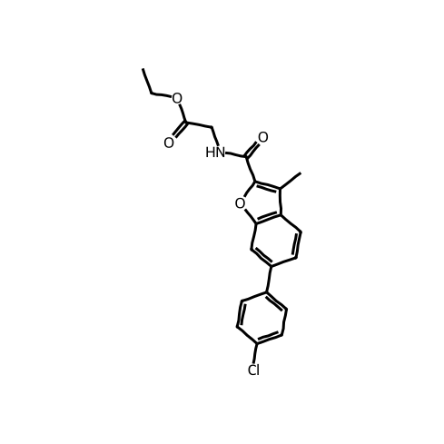 CCOC(=O)CNC(=O)c1oc2cc(-c3ccc(Cl)cc3)ccc2c1C